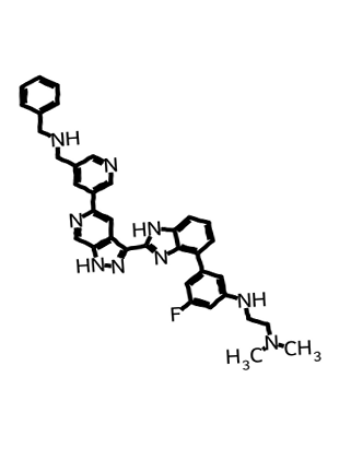 CN(C)CCNc1cc(F)cc(-c2cccc3[nH]c(-c4n[nH]c5cnc(-c6cncc(CNCc7ccccc7)c6)cc45)nc23)c1